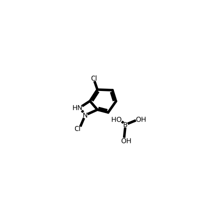 Clc1cccc2c1[nH]n2Cl.OB(O)O